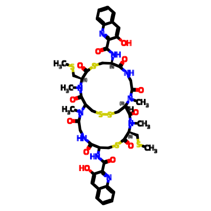 CSC[C@H]1C(=O)SC[C@@H](NC(=O)c2nc3ccccc3cc2O)C(=O)NCC(=O)N(C)[C@H]2CSSCC(C(=O)N1C)N(C)C(=O)CNC(=O)C(NC(=O)c1nc3ccccc3cc1O)CSC(=O)[C@H](CSC)N(C)C2=O